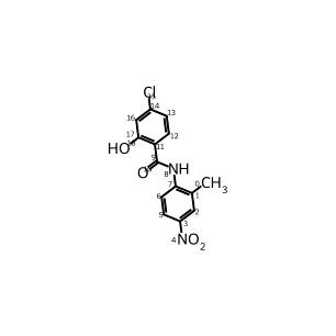 Cc1cc([N+](=O)[O-])ccc1NC(=O)c1ccc(Cl)cc1O